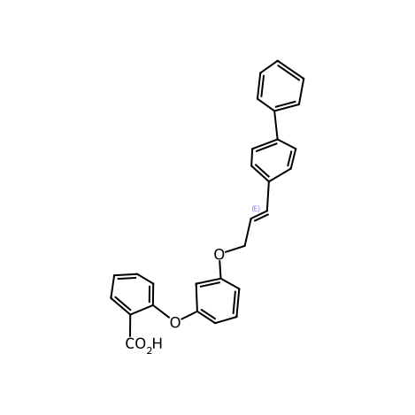 O=C(O)c1ccccc1Oc1cccc(OC/C=C/c2ccc(-c3ccccc3)cc2)c1